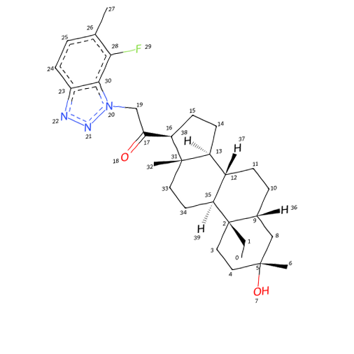 CC[C@]12CC[C@@](C)(O)C[C@H]1CC[C@H]1[C@@H]3CC[C@H](C(=O)Cn4nnc5ccc(C)c(F)c54)[C@@]3(C)CC[C@@H]12